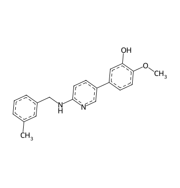 COc1ccc(-c2ccc(NCc3cccc(C)c3)nc2)cc1O